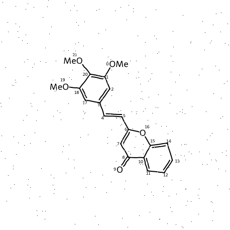 COc1cc(/C=C/c2cc(=O)c3ccccc3o2)cc(OC)c1OC